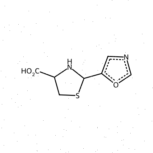 O=C(O)C1CSC(c2cnco2)N1